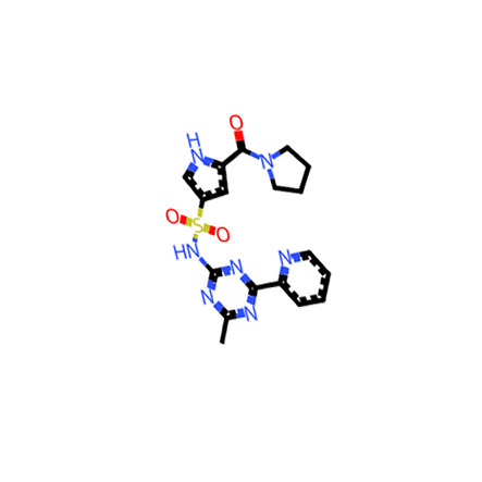 Cc1nc(NS(=O)(=O)c2c[nH]c(C(=O)N3CCCC3)c2)nc(-c2ccccn2)n1